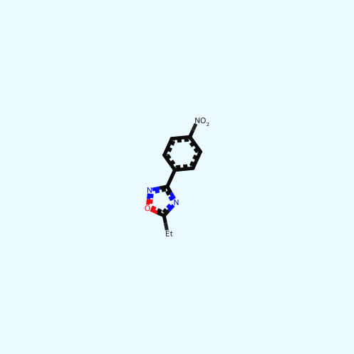 CCc1nc(-c2ccc([N+](=O)[O-])cc2)no1